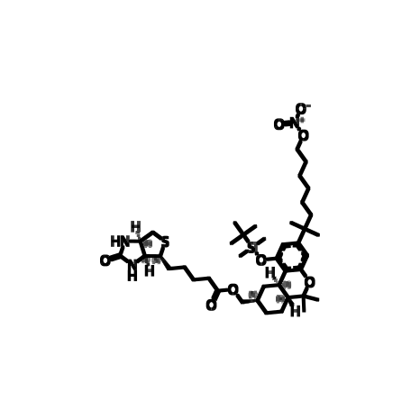 CC(C)(CCCCCCO[N+](=O)[O-])c1cc2c(c(O[Si](C)(C)C(C)(C)C)c1)[C@@H]1C[C@H](COC(=O)CCCC[C@@H]3SC[C@@H]4NC(=O)N[C@@H]43)CC[C@H]1C(C)(C)O2